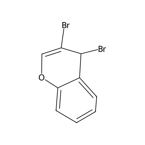 BrC1=COc2ccccc2C1Br